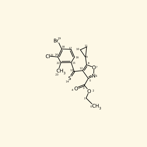 CCOC(=O)c1noc(C2CC2)c1C(=S)c1ccc(Br)c(Cl)c1C